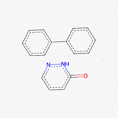 O=c1cccn[nH]1.c1ccc(-c2ccccc2)cc1